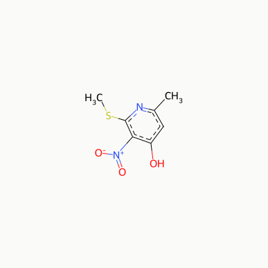 CSc1nc(C)cc(O)c1[N+](=O)[O-]